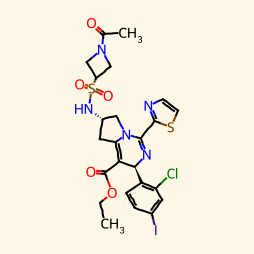 CCOC(=O)C1=C2C[C@H](NS(=O)(=O)C3CN(C(C)=O)C3)CN2C(c2nccs2)=N[C@H]1c1ccc(I)cc1Cl